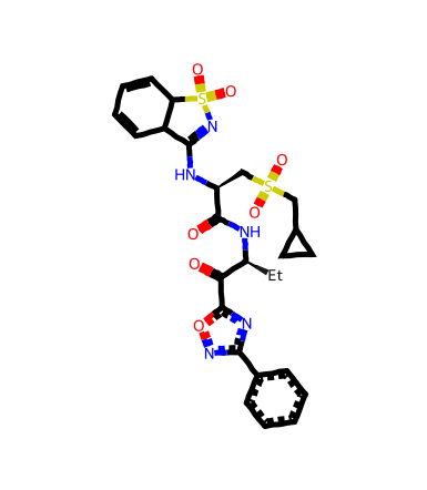 CC[C@H](NC(=O)[C@H](CS(=O)(=O)CC1CC1)NC1=NS(=O)(=O)C2C=CC=CC12)C(=O)c1nc(-c2ccccc2)no1